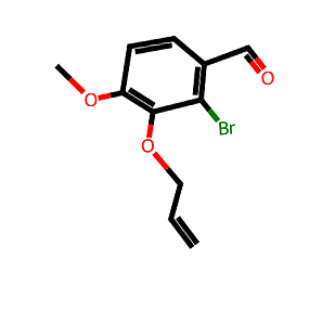 C=CCOc1c(OC)ccc(C=O)c1Br